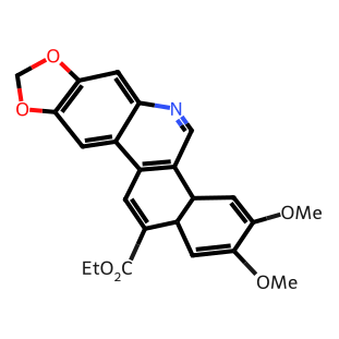 CCOC(=O)C1=Cc2c(cnc3cc4c(cc23)OCO4)C2C=C(OC)C(OC)=CC12